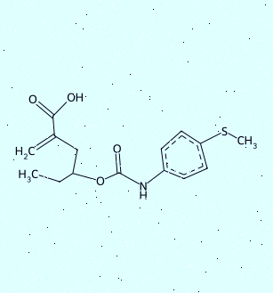 C=C(CC(CC)OC(=O)Nc1ccc(SC)cc1)C(=O)O